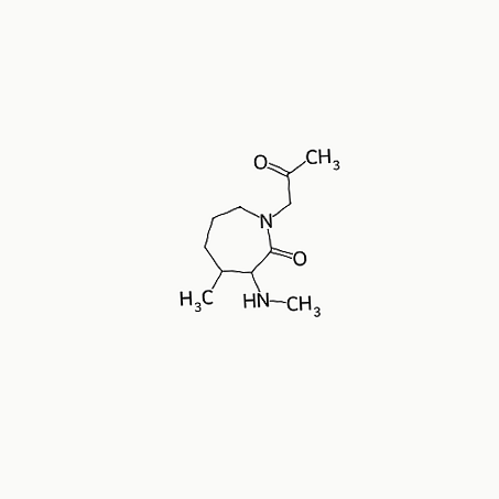 CNC1C(=O)N(CC(C)=O)CCCC1C